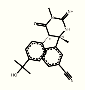 CN1C(=N)N[C@](C)(c2cccc(C#N)c2)[C@H](c2ccc(C(C)(C)O)cc2)C1=O